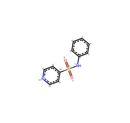 O=S(=O)(Nc1ccccc1)c1ccncc1